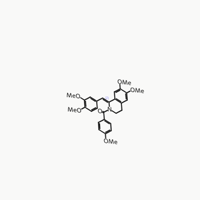 COc1ccc(C(=O)N2CCc3cc(OC)c(OC)cc3/C2=C/c2ccc(OC)c(OC)c2)cc1